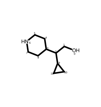 OCC(C1CCNCC1)C1CC1